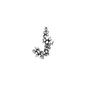 Cc1oc(=O)oc1CN1CCc2cc(NS(=O)(=O)c3ccc(NC(=O)NC(C)c4cccc(Cl)c4Cl)cc3)ccc2C1